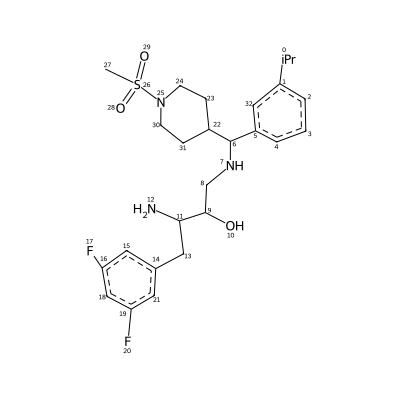 CC(C)c1cccc(C(NCC(O)C(N)Cc2cc(F)cc(F)c2)C2CCN(S(C)(=O)=O)CC2)c1